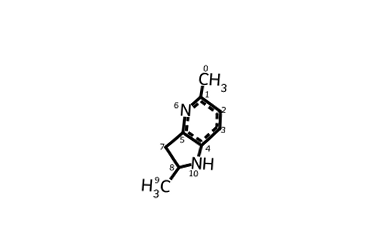 Cc1ccc2c(n1)CC(C)N2